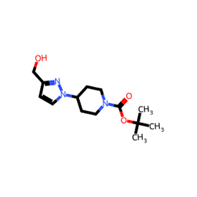 CC(C)(C)OC(=O)N1CCC(n2ccc(CO)n2)CC1